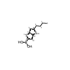 CCCCc1cc2sc(B(O)O)cc2s1